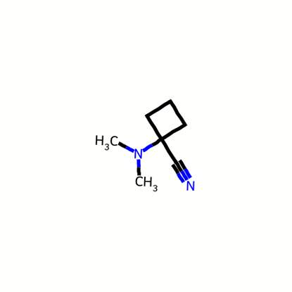 CN(C)C1(C#N)CCC1